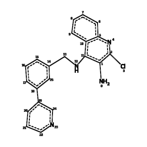 Nc1c(Cl)nc2ccccc2c1NCc1cccc(-c2cccnc2)c1